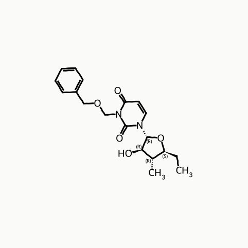 CC[C@@H]1O[C@@H](n2ccc(=O)n(COCc3ccccc3)c2=O)[C@H](O)[C@H]1C